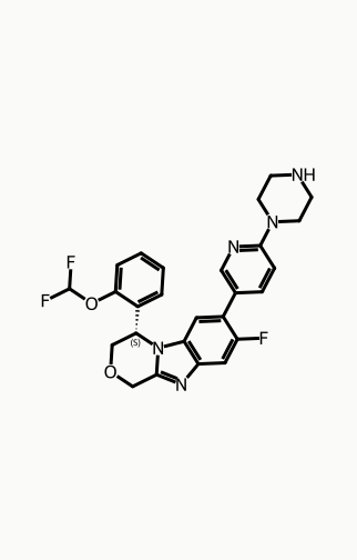 Fc1cc2nc3n(c2cc1-c1ccc(N2CCNCC2)nc1)[C@@H](c1ccccc1OC(F)F)COC3